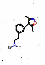 CCN(CC)CCc1cccc(-c2c(C)noc2C)c1